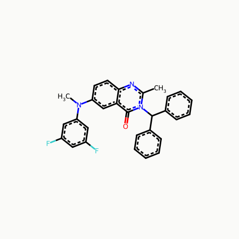 Cc1nc2ccc(N(C)c3cc(F)cc(F)c3)cc2c(=O)n1C(c1ccccc1)c1ccccc1